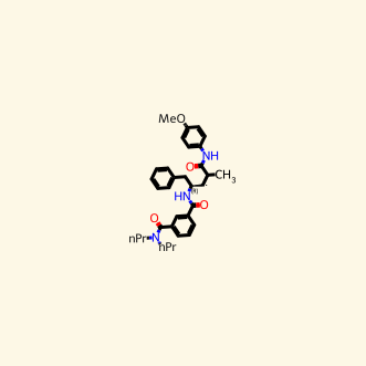 CCCN(CCC)C(=O)c1cccc(C(=O)N[C@H]([CH]C(C)C(=O)Nc2ccc(OC)cc2)Cc2ccccc2)c1